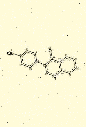 CC(C)(C)c1ccc(-c2coc3c[c]ccc3c2=O)cc1